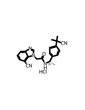 C[C@H](NC(=O)Cn1cnc2cccc(C#N)c21)c1ccc(C(C)(C)C#N)cc1.Cl